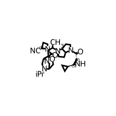 CC(C)N1CC2C(CC(C)N3CCC4C3CCN4C(=O)[C@@H]3N[C@H]3C3CC3)OCC1CN2C(=O)N1CC[C@H]1C#N